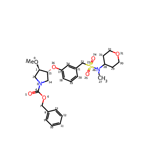 CO[C@@H]1CN(C(=O)OCc2ccccc2)C[C@H]1Oc1cccc(CS(=O)(=O)N(C)C2CCOCC2)c1